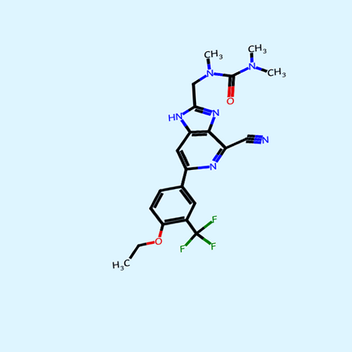 CCOc1ccc(-c2cc3[nH]c(CN(C)C(=O)N(C)C)nc3c(C#N)n2)cc1C(F)(F)F